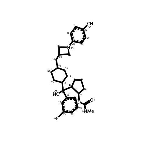 CNC(=O)OC1CCCC1C(C#N)(c1cccc(F)c1)C1CCC(CC2CN(c3ccc(C#N)cc3)C2)CC1